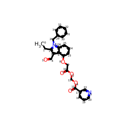 CCc1c(C=O)c2c(OCC(=O)OCOC(=O)c3cccnc3)cccc2n1Cc1ccccc1